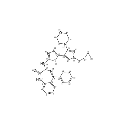 O=C1Nc2ccccc2C(c2ccccc2)=NC1Nc1nnc(-c2cn(CC3CC3)nc2N2CCOCC2)o1